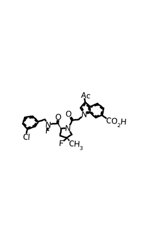 CC(=O)c1cn(CC(=O)N2C[C@](C)(F)C[C@H]2C(=O)N(F)Cc2cccc(Cl)c2)c2cc(C(=O)O)ccc12